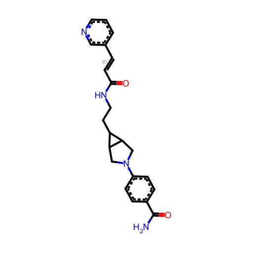 NC(=O)c1ccc(N2CC3C(CCNC(=O)/C=C/c4cccnc4)C3C2)cc1